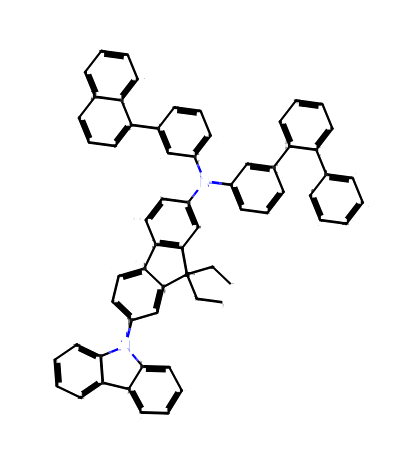 CCC1(CC)c2cc(N(c3cccc(-c4ccccc4-c4ccccc4)c3)c3cccc(-c4cccc5ccccc45)c3)ccc2-c2ccc(-n3c4ccccc4c4ccccc43)cc21